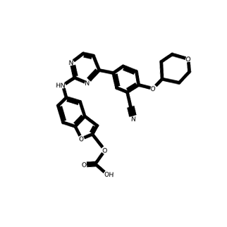 N#Cc1cc(-c2ccnc(Nc3ccc4oc(OC(=O)O)cc4c3)n2)ccc1OC1CCOCC1